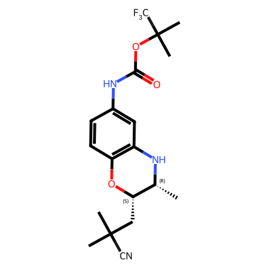 C[C@H]1Nc2cc(NC(=O)OC(C)(C)C(F)(F)F)ccc2O[C@H]1CC(C)(C)C#N